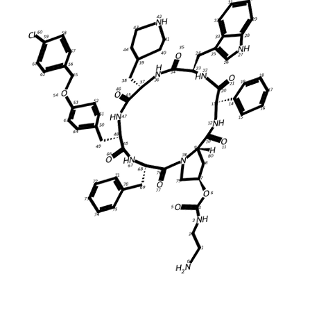 NCCNC(=O)O[C@@H]1C[C@H]2C(=O)N[C@@H](c3ccccc3)C(=O)N[C@H](Cc3c[nH]c4ccccc34)C(=O)N[C@@H](CC3CCNCC3)C(=O)N[C@@H](Cc3ccc(OCc4ccc(Cl)cc4)cc3)C(=O)N[C@@H](Cc3ccccc3)C(=O)N2C1